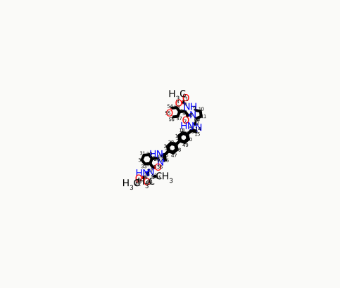 COC(=O)NC(C(=O)N1CCC[C@H]1c1ncc(-c2ccc(-c3ccc(-c4cnc(C5CCCCC5C(=O)N(NC(=O)OC)C(C)C)[nH]4)cc3)cc2)[nH]1)C1CCOCC1